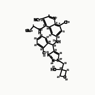 CC(C)(C)CNc1c(C#N)cnc2c(Cl)cc(NC(c3cn(CC4(O)COC4)nn3)c3ccccc3Cl)cc12